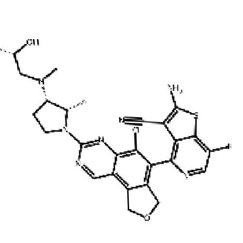 C[C@H](O)CN(C)[C@H]1CCN(c2ncc3c4c(c(-c5ncc(F)c6sc(N)c(C#N)c56)c(Cl)c3n2)COC4)[C@H]1C